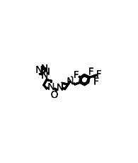 CN(Cc1ccc(C(F)(F)F)cc1F)C1CN(C(=O)N2CC[C@H](n3cnnn3)C2)C1